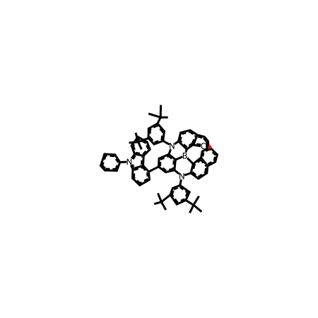 CC(C)(C)c1cc(N2c3cc(-c4cccc5c4c4ccccc4n5-c4ccccc4)cc4c3B(c3c2ccc2ccccc32)c2c(ccc3ccccc23)N4c2cc(C(C)(C)C)cc(C(C)(C)C)c2)cc(C(C)(C)C)c1